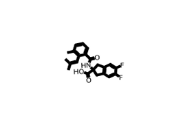 CC(C)=Cc1c(C)cccc1C(=O)NC1(C(=O)O)Cc2cc(F)c(F)cc2C1